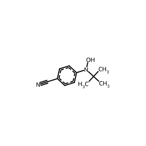 CC(C)(C)N(O)c1ccc(C#N)cc1